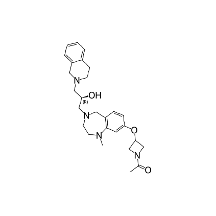 CC(=O)N1CC(Oc2ccc3c(c2)N(C)CCN(C[C@H](O)CN2CCc4ccccc4C2)C3)C1